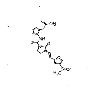 C[S+]([O-])c1coc(C=NN2CCN(C(=O)Nc3sccc3CC(=O)O)C2=O)c1